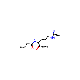 C=C(N)NCCCC(NC(=O)CCCCCCCCCCC)C(=O)NC